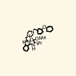 COC(=O)[C@@H](Nc1nc(CN2CCN(Cc3cccc(Oc4ccccc4)c3)CC2)nc2ccccc12)C(C)C